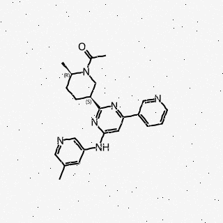 CC(=O)N1C[C@@H](c2nc(Nc3cncc(C)c3)cc(-c3cccnc3)n2)CC[C@H]1C